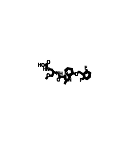 COCC(CNC(=O)O)NC(=O)c1c(C)nc2c(OCc3c(F)cccc3F)cccn12